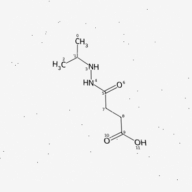 CC(C)NNC(=O)CCC(=O)O